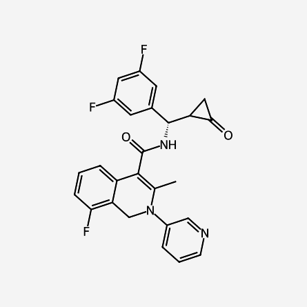 CC1=C(C(=O)N[C@H](c2cc(F)cc(F)c2)C2CC2=O)c2cccc(F)c2CN1c1cccnc1